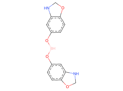 B(Oc1ccc2c(c1)NCO2)Oc1ccc2c(c1)NCO2